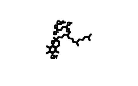 Cc1c(C)c2c(c(C)c1O)CC[C@@](C)(CCCC(C)CCCC(C)CCCC(C)C)O2.O=C([O-])CCC(=O)[O-].[Ca+2]